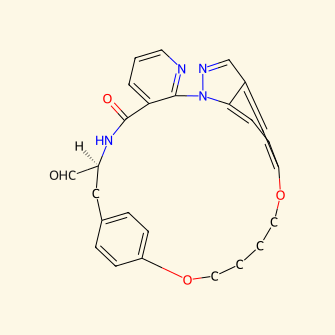 O=C[C@@H]1Cc2ccc(cc2)OCCCCOc2ccc3c(cnn3-c3ncccc3C(=O)N1)c2